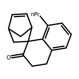 CCCc1cccc2c1C1(CC3C=CC1C3)C(=O)CC2